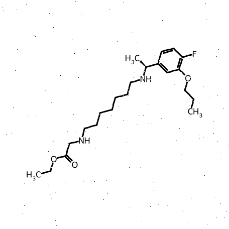 CCCOc1cc([C@H](C)NCCCCCCCNCC(=O)OCC)ccc1F